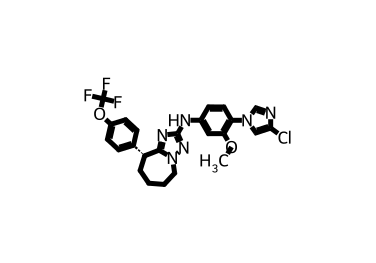 COc1cc(Nc2nc3n(n2)CCCC[C@@H]3c2ccc(OC(F)(F)F)cc2)ccc1-n1cnc(Cl)c1